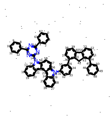 c1ccc(-c2nc(-c3ccccc3)nc(-n3c4ccccc4c4c5c6ccccc6n(-c6cccc(-c7cccc8c7Cc7c(-c9ccccc9)cccc7-8)c6)c5ccc43)n2)cc1